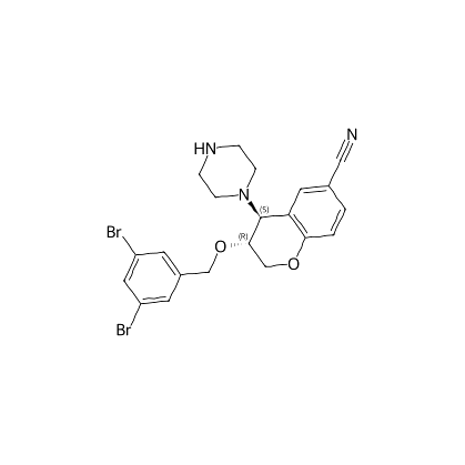 N#Cc1ccc2c(c1)[C@H](N1CCNCC1)[C@@H](OCc1cc(Br)cc(Br)c1)CO2